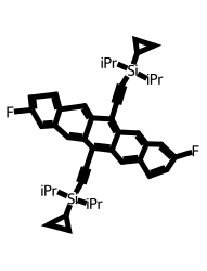 CC(C)[Si](C#Cc1c2cc3ccc(F)cc3cc2c(C#C[Si](C(C)C)(C(C)C)C2CC2)c2cc3ccc(F)cc3cc12)(C(C)C)C1CC1